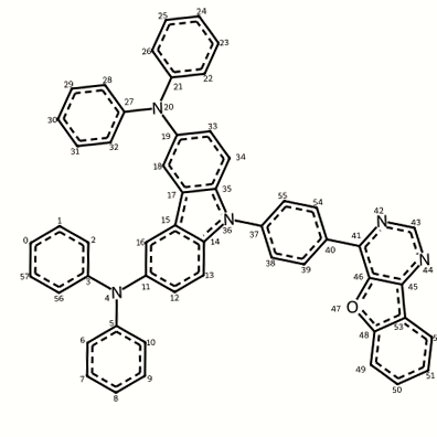 c1ccc(N(c2ccccc2)c2ccc3c(c2)c2cc(N(c4ccccc4)c4ccccc4)ccc2n3-c2ccc(-c3ncnc4c3oc3ccccc34)cc2)cc1